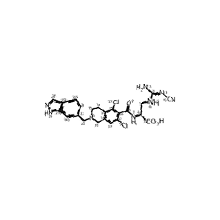 N#C/N=C(/N)NC[C@H](NC(=O)c1c(Cl)cc2c(c1Cl)CCN(Cc1ccc3cn[nH]c3c1)C2)C(=O)O